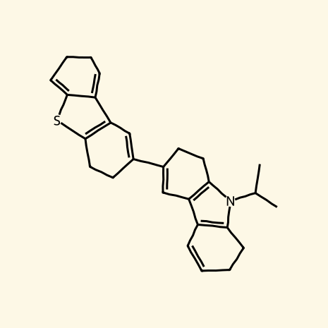 CC(C)n1c2c(c3c1CCC(C1=Cc4c(sc5c4=CCCC=5)CC1)=C3)C=CCC2